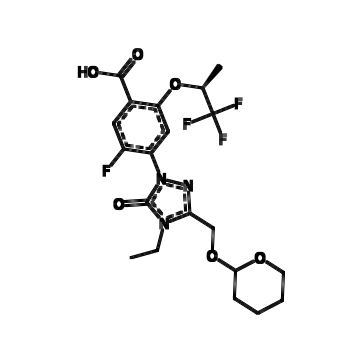 CCn1c(COC2CCCCO2)nn(-c2cc(O[C@@H](C)C(F)(F)F)c(C(=O)O)cc2F)c1=O